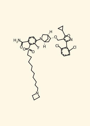 NC(=O)c1ccc(N2C[C@@H]3C[C@H]2C[C@H]3OCc2c(-c3c(Cl)cccc3Cl)noc2C2CC2)c(F)c1S(=O)(=O)CCCCCCCCCCN1CCC1